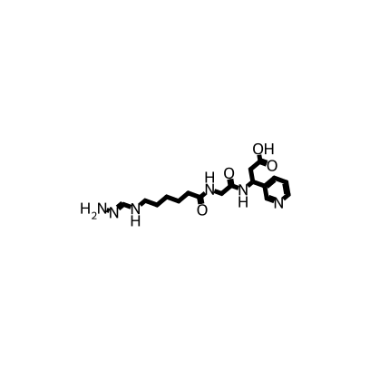 NN=CNCCCCCC(=O)NCC(=O)NC(CC(=O)O)c1cccnc1